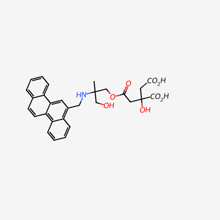 CC(CO)(COC(=O)CC(O)(CC(=O)O)C(=O)O)NCc1cc2c3ccccc3ccc2c2ccccc12